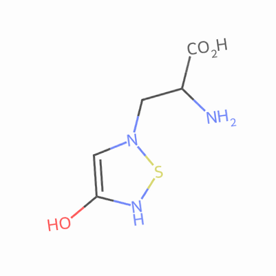 NC(CN1C=C(O)NS1)C(=O)O